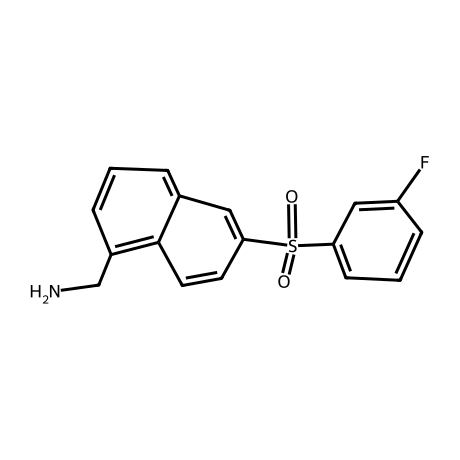 NCc1cccc2cc(S(=O)(=O)c3cccc(F)c3)ccc12